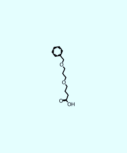 O=C(O)CCCOCCCOCc1ccccc1